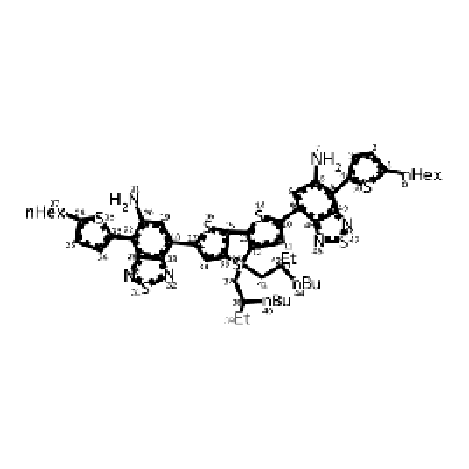 CCCCCCc1ccc(-c2c(N)cc(-c3cc4c(s3)-c3sc(-c5cc(N)c(-c6ccc(CCCCCC)s6)c6nsnc56)cc3[Si]4(CC(CC)CCCC)CC(CC)CCCC)c3nsnc23)s1